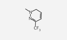 CN1CC=CC(C(F)(F)F)=N1